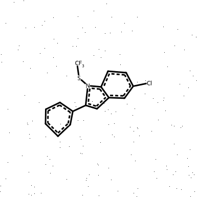 FC(F)(F)Sn1c(-c2ccccc2)cc2cc(Cl)ccc21